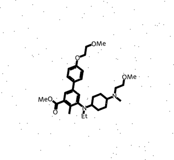 CCN(c1cc(-c2ccc(OCCOC)cc2)cc(C(=O)OC)c1C)C1CCC(N(C)CCOC)CC1